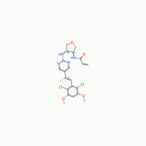 C=CC(=O)N[C@@H]1COC[C@@H]1Nc1ncc(/C(F)=C/c2c(Cl)c(OC)cc(OC)c2Cl)cn1